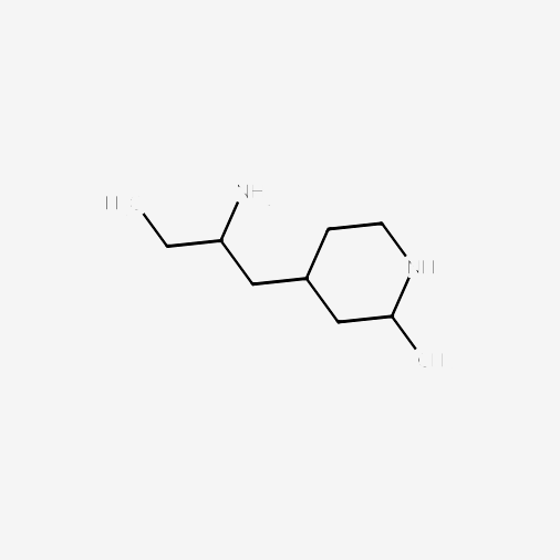 CCC(N)CC1CCNC(C)C1